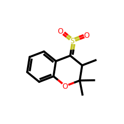 CC1C(=S(=O)=O)c2ccccc2OC1(C)C